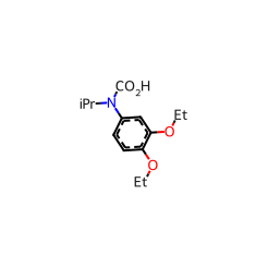 CCOc1ccc(N(C(=O)O)C(C)C)cc1OCC